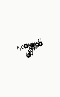 CC(Nc1nc(Nc2ccc(C(F)(F)F)cc2)c2nc(Cc3c(Cl)cccc3Cl)sc2n1)c1ccccn1